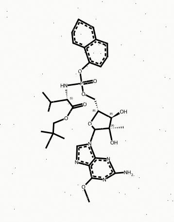 COc1nc(N)nc2c1ncn2C1O[C@H](COP(=O)(N[C@H](C(=O)OCC(C)(C)C)C(C)C)Oc2cccc3ccccc23)[C@@H](O)[C@@]1(C)O